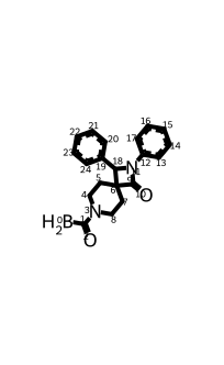 BC(=O)N1CCC2(CC1)C(=O)N(c1ccccc1)C2c1ccccc1